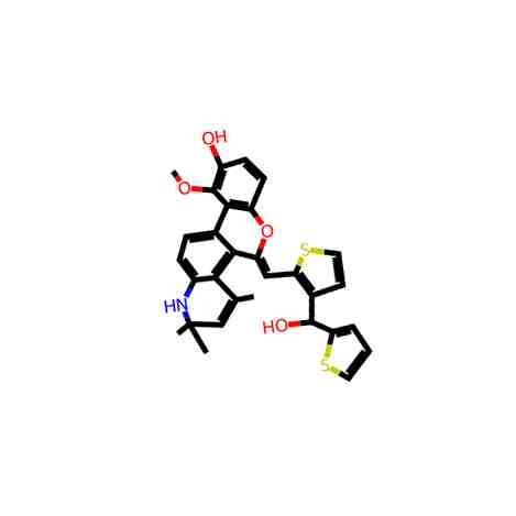 COc1c(O)ccc2c1-c1ccc3c(c1/C(=C/c1sccc1C(O)c1cccs1)O2)C(C)=CC(C)(C)N3